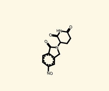 O=Nc1ccc2c(c1)CN(C1CCC(=O)NC1=O)C2=O